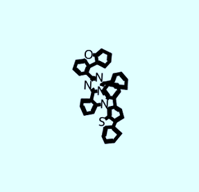 c1ccc(-c2nc(-c3ccccc3-n3c4ccccc4c4ccc5c6ccccc6sc5c43)nc(-c3cccc4oc5ccccc5c34)n2)cc1